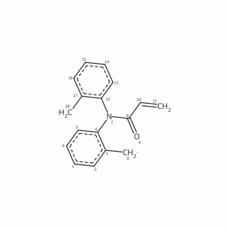 [CH2]c1ccccc1N(C(=O)C=C)c1ccccc1[CH2]